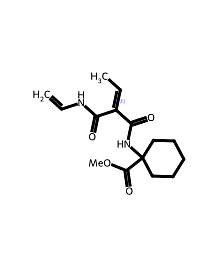 C=CNC(=O)/C(=C\C)C(=O)NC1(C(=O)OC)CCCCC1